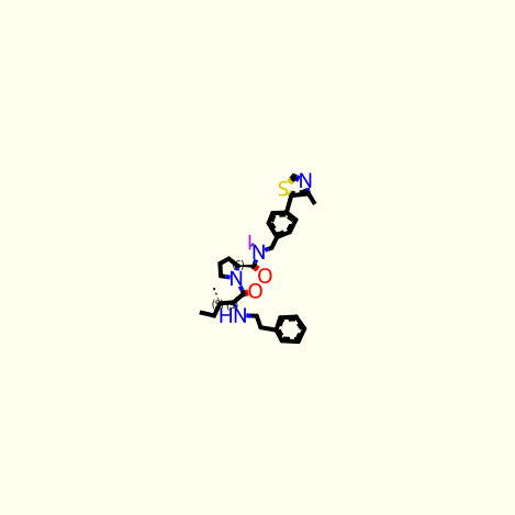 CC[C@H](C)[C@H](NCCc1ccccc1)C(=O)N1CCC[C@H]1C(=O)N(I)Cc1ccc(-c2scnc2C)cc1